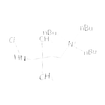 CCCC[N+](CCCC)(CCCC)CC(C)(C)NCl